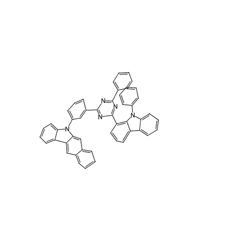 c1ccc(-c2nc(-c3cccc(-n4c5ccccc5c5cc6ccccc6cc54)c3)nc(-c3cccc4c5ccccc5n(-c5ccccc5)c34)n2)cc1